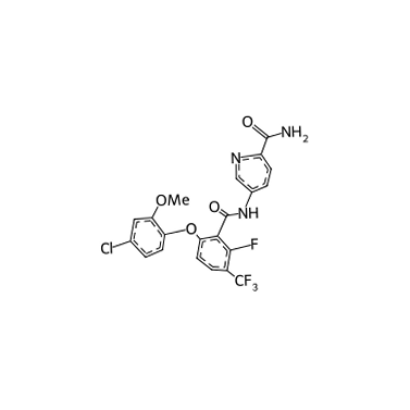 COc1cc(Cl)ccc1Oc1ccc(C(F)(F)F)c(F)c1C(=O)Nc1ccc(C(N)=O)nc1